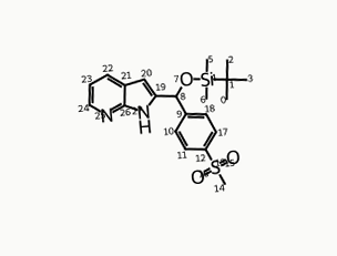 CC(C)(C)[Si](C)(C)OC(c1ccc(S(C)(=O)=O)cc1)c1cc2cccnc2[nH]1